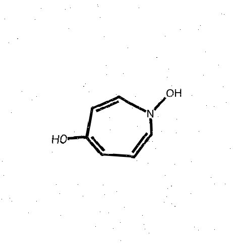 OC1=CC=CN(O)C=C1